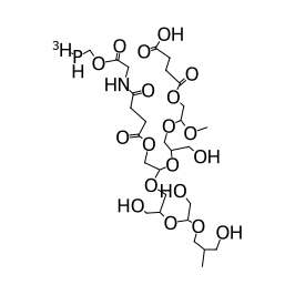 [3H]PCOC(=O)CNC(=O)CCC(=O)OCC(OCC(CO)OC(CO)OCC(C)CO)OC(CO)COC(COC(=O)CCC(=O)O)OC